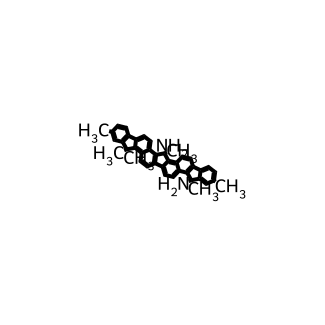 Cc1ccc2c(c1)C(C)(C)c1c-2ccc2c3c(ccc12)-c1ccc2c4c(ccc2c1C3(C)N)-c1ccc(C)cc1C4(C)N